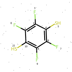 Fc1c(F)c(S)c(F)c(F)c1S